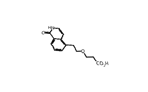 O=C(O)CCOCCc1cccc2c(=O)[nH]ccc12